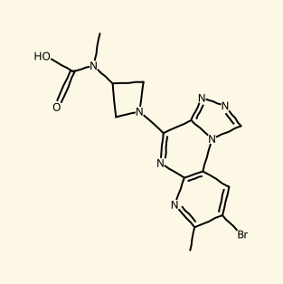 Cc1nc2nc(N3CC(N(C)C(=O)O)C3)c3nncn3c2cc1Br